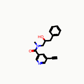 C#Cc1cncc(C(=O)N(C)CC(O)Cc2ccccc2)c1